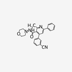 Cc1nc(-c2ccccc2)cc(-c2cccc(C#N)c2)c1C(=O)NN1CCOCC1